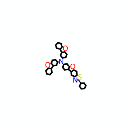 c1ccc(-c2nc3cc4c(cc3s2)oc2cc(N(c3ccc5oc6ccccc6c5c3)c3ccc5oc6ccccc6c5c3)ccc24)cc1